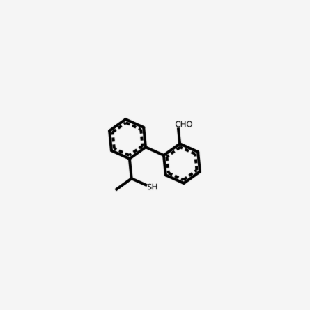 CC(S)c1ccccc1-c1ccccc1C=O